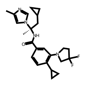 Cc1cn([C@@](C)(CC2CC2)NC(=O)c2ccc(C3CC3)c(N3CCC(F)(F)C3)c2)cn1